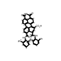 CC(C)c1cccc(C(C)C)c1NC(=N)c1cc(C(=O)O)c2c3ccc4c5c(ccc(c6ccc(C(=O)Nc7c(C(C)C)cccc7C(C)C)c1c62)c53)C(=O)NC4=O